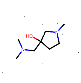 CN(C)CC1(O)CCN(C)C1